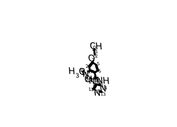 C#CCOc1ccc(-c2nc3cncnc3[nH]2)c(N(C)C)c1